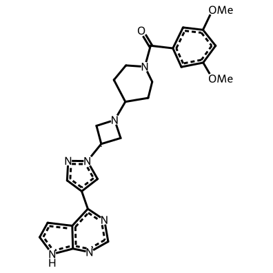 COc1cc(OC)cc(C(=O)N2CCC(N3C[C](n4cc(-c5ncnc6[nH]ccc56)cn4)C3)CC2)c1